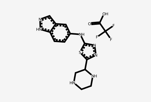 O=C(O)C(F)(F)F.c1cc2[nH]ncc2cc1Nc1nnc(C2CNCCN2)s1